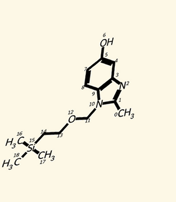 Cc1nc2cc(O)ccc2n1COCC[Si](C)(C)C